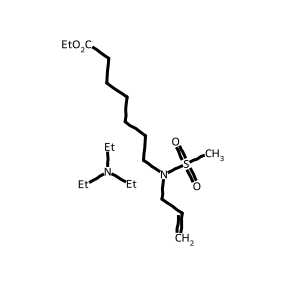 C=CCN(CCCCCCC(=O)OCC)S(C)(=O)=O.CCN(CC)CC